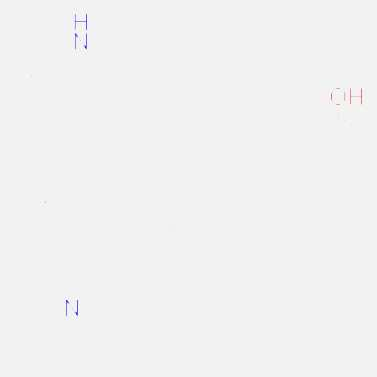 CN(C)C1Cc2c[nH]c3cc(CO)cc(c23)C1